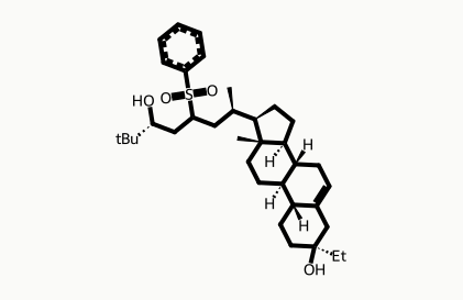 CC[C@]1(O)CC[C@H]2C(=CC[C@@H]3[C@@H]2CC[C@]2(C)[C@@H]([C@H](C)CC(C[C@@H](O)C(C)(C)C)S(=O)(=O)c4ccccc4)CC[C@@H]32)C1